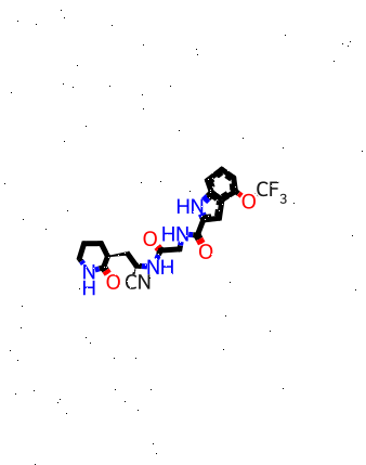 N#C[C@H](C[C@@H]1CCCNC1=O)NC(=O)CNC(=O)c1cc2c(OC(F)(F)F)cccc2[nH]1